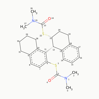 CN(C)C(=O)Sc1ccc2c(c1[C@H]1c3ccccc3CC[C@H]1SC(=O)N(C)C)CCCC2